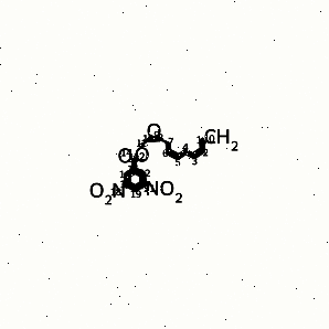 C=C/C=C\C/C=C\C[C@@H]1O[C@@H]1COC(=O)c1cc([N+](=O)[O-])cc([N+](=O)[O-])c1